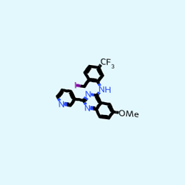 COc1ccc2nc(-c3cccnc3)nc(Nc3cc(C(F)(F)F)ccc3CI)c2c1